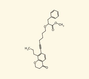 CCCc1c(C#CCCCCOC(Cc2ccccc2)C(=O)OC)ccc2c1OCCC2=O